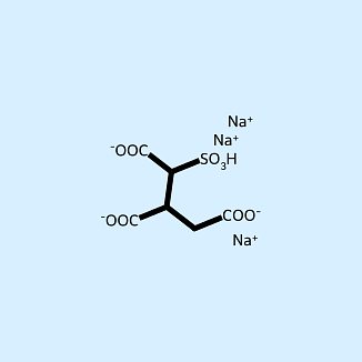 O=C([O-])CC(C(=O)[O-])C(C(=O)[O-])S(=O)(=O)O.[Na+].[Na+].[Na+]